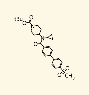 CC(C)(C)OC(=O)N1CCC(N(C(=O)c2ccc(-c3ccc(S(C)(=O)=O)cc3)cc2)C2CC2)CC1